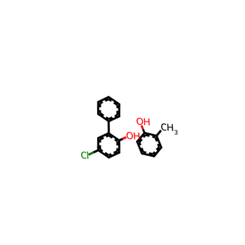 Cc1ccccc1O.Oc1ccc(Cl)cc1-c1ccccc1